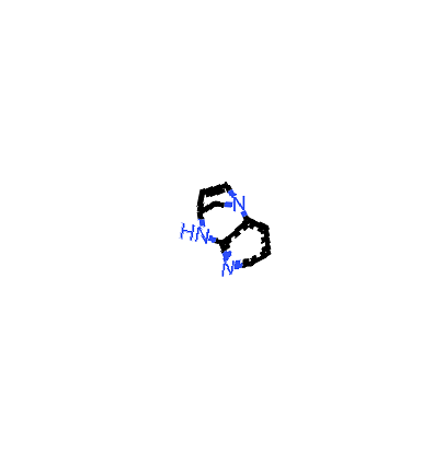 C1=CN2CC1Nc1ncccc12